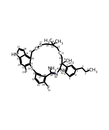 CCCc1cccc([C@@]2(C)CCCC(C)(C)CSCCc3c(c(F)cc4[nH]ccc34)Sc3ccc(F)c(c3)/C(N)=N/C2=N)c1